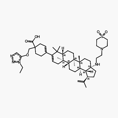 C=C(C)[C@@H]1CC[C@]2(NCCN3CCS(=O)(=O)CC3)CC[C@]3(C)[C@H](CC[C@@H]4[C@@]5(C)CC=C(C6=CCC(COc7cnnn7CC)(C(=O)O)CC6)C(C)(C)[C@@H]5CC[C@]43C)[C@@H]12